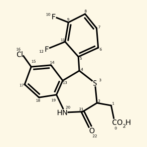 O=C(O)CC1SC(c2cccc(F)c2F)c2cc(Cl)ccc2NC1=O